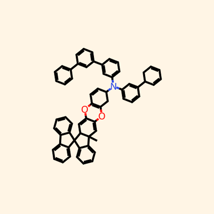 CC12C=C3OC4=C(C=CC(N(c5cccc(-c6cccc(-c7ccccc7)c6)c5)c5cccc(C6C=CC=CC6)c5)C4)OC3=CC1C1(c3ccccc3-c3ccccc31)c1ccccc12